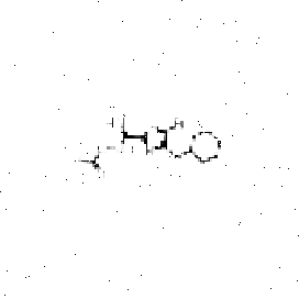 CC(=O)ONC(=N)c1nc(CC2CCCCC2)c(Br)s1